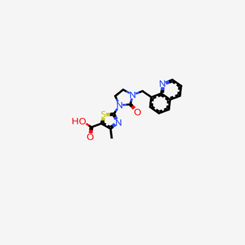 Cc1nc(N2CCN(Cc3cccc4cccnc34)C2=O)sc1C(=O)O